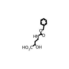 O=C(NCCC(O)C(=O)O)OCc1ccccc1